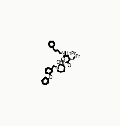 CCC[C@H](C(=O)NCC=Cc1ccccc1)[C@@H](CC(C)C)C(=O)N[C@H]1CCCCN(Cc2cccc(Oc3ccccc3)c2)C1=O